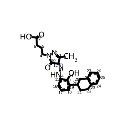 CC1=NN(CCCC(=O)O)C(=O)/C1=N\Nc1cccc(C2CCc3ccccc3C2)c1O